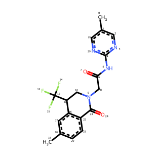 Cc1cnc(NC(=O)CN2CC(C(F)(F)F)c3cc(C)ccc3C2=O)nc1